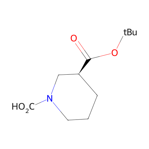 CC(C)(C)OC(=O)[C@H]1CCCN(C(=O)O)C1